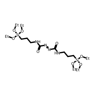 CCO[Si](CCCNC(=O)/N=N/C(=O)NCCC[Si](OCC)(OCC)OCC)(OCC)OCC